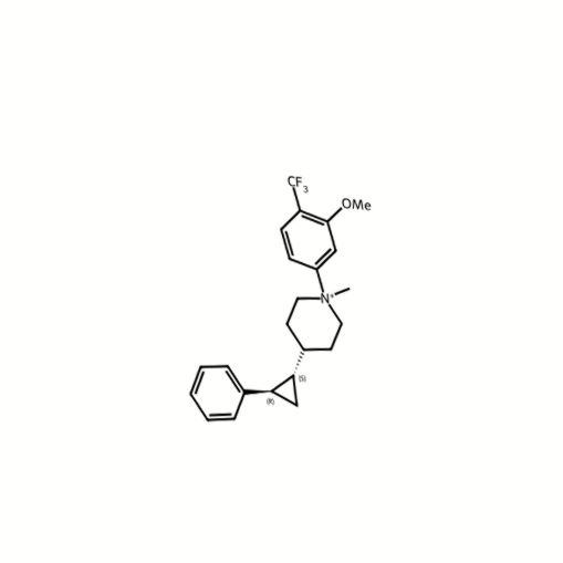 COc1cc([N+]2(C)CCC([C@@H]3C[C@H]3c3ccccc3)CC2)ccc1C(F)(F)F